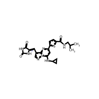 CC(C)CNC(=O)c1ccc(-c2cc(NC3CC3)n3ncc(/C=C4\NC(=O)NC4=O)c3n2)s1